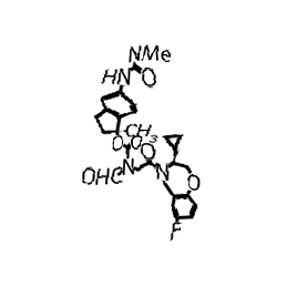 CNC(=O)Nc1ccc2c(c1)CC[C@]2(C)OC(=O)N(C=O)CC(=O)N1Cc2cc(F)ccc2OC[C@@H]1C1CC1